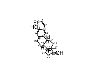 CC/C=C\c1cc2c(cc1O)CC[C@@H]1[C@@H]2CC[C@]2(C)[C@@H](O)CC[C@@H]12